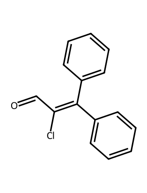 O=CC(Cl)=C(c1ccccc1)c1ccccc1